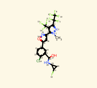 Cn1nc(C(F)(F)C(F)(F)F)c(C(F)(F)F)c1-c1cc(-c2ccc(Cl)c(C(O)NC3CC3F)c2)on1